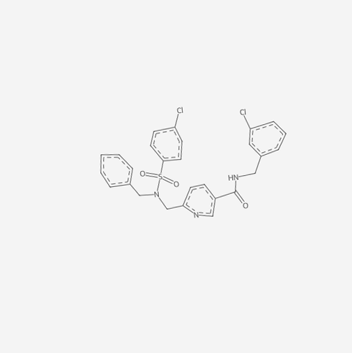 O=C(NCc1cccc(Cl)c1)c1ccc(CN(Cc2ccccc2)S(=O)(=O)c2ccc(Cl)cc2)nc1